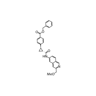 COCc1cc2cc(NC(=O)[C@@H]3C[C@H]3c3ccc(C(=O)OCc4ccccc4)cc3)ccc2cn1